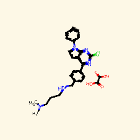 CN(C)CCCNCc1ccc(-c2nc(Cl)nc3c2ccn3-c2ccccc2)cc1.O=C(O)C(=O)O